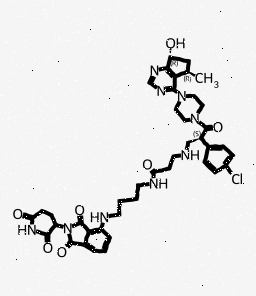 C[C@@H]1C[C@@H](O)c2ncnc(N3CCN(C(=O)[C@H](CNCCC(=O)NCCCCNc4cccc5c4C(=O)N(C4CCC(=O)NC4=O)C5=O)c4ccc(Cl)cc4)CC3)c21